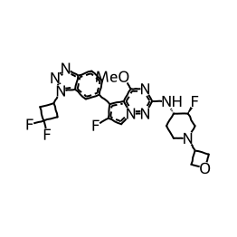 COc1nc(N[C@H]2CCN(C3COC3)C[C@@H]2F)nn2cc(F)c(-c3ccc4nnn(C5CC(F)(F)C5)c4c3)c12